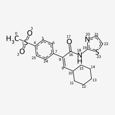 CS(=O)(=O)c1ccc(C(=CC2CCCCC2)C(=O)Nc2nccs2)cc1